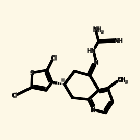 Cc1ccnc2c1C(=NNC(=N)N)C[C@@H](c1cc(Cl)sc1Cl)C2